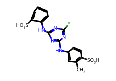 Cc1cc(Nc2nc(F)nc(Nc3ccccc3S(=O)(=O)O)n2)ccc1S(=O)(=O)O